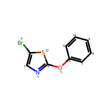 Brc1cnc(Oc2ccccc2)s1